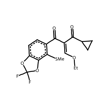 CCOC=C(C(=O)c1ccc2c(c1SC)OC(F)(F)O2)C(=O)C1CC1